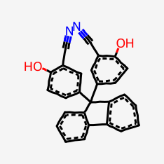 N#Cc1cc(C2(c3ccc(O)c(C#N)c3)c3ccccc3-c3ccccc32)ccc1O